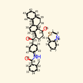 C1=CSC=c2ccccc2=N1.Cc1ccccc1C(=O)Nc1ccc(C(=O)C2=c3ccc4c(c3C(=O)CC2)CC=c2ccccc2=4)cc1